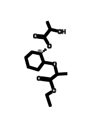 CCOC(=O)C(C)OC1CCCC[C@@H]1OC(=O)C(C)O